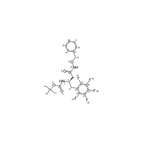 CC(C)(C)OC(=O)N[C@@H](CC(=O)NOCc1ccccc1)Cc1c(F)c(F)c(F)c(F)c1F